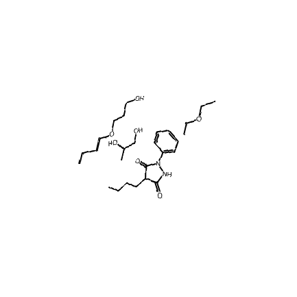 CC(O)CO.CCCCC1C(=O)NN(c2ccccc2)C1=O.CCCCOCCCO.CCOCC